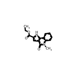 CCOC(=O)c1cc2c(=O)n(C)c3ccccc3c2[nH]1